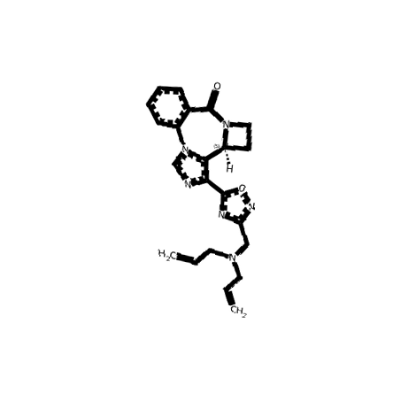 C=CCN(CC=C)Cc1noc(-c2ncn3c2[C@@H]2CCN2C(=O)c2ccccc2-3)n1